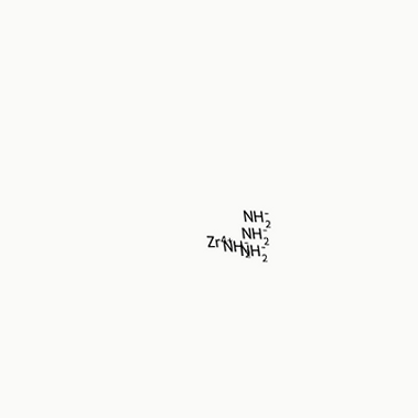 [NH2-].[NH2-].[NH2-].[NH2-].[Zr+4]